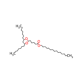 CCCCCCCCCCCCCCCOC(=O)CCCCC1OC(CCCCCCC)CC(CCCCCCC)O1